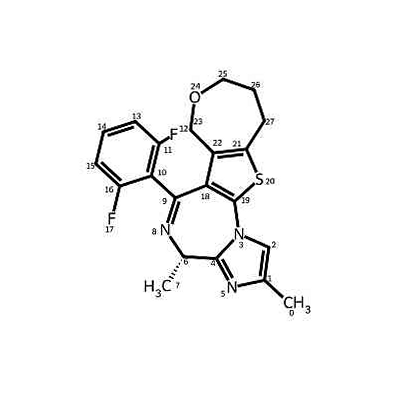 Cc1cn2c(n1)[C@H](C)N=C(c1c(F)cccc1F)c1c-2sc2c1COCCC2